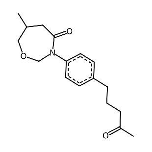 CC(=O)CCCc1ccc(N2COCC(C)CC2=O)cc1